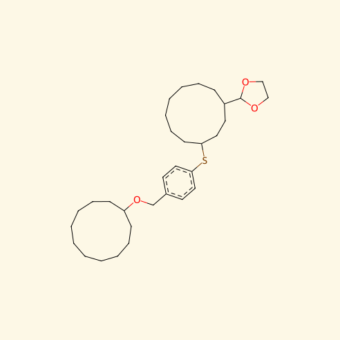 c1cc(SC2CCCCCCCC(C3OCCO3)CC2)ccc1COC1CCCCCCCCCC1